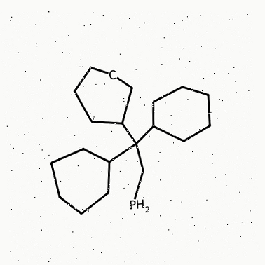 PCC(C1CCCCC1)(C1CCCCC1)C1CCCCC1